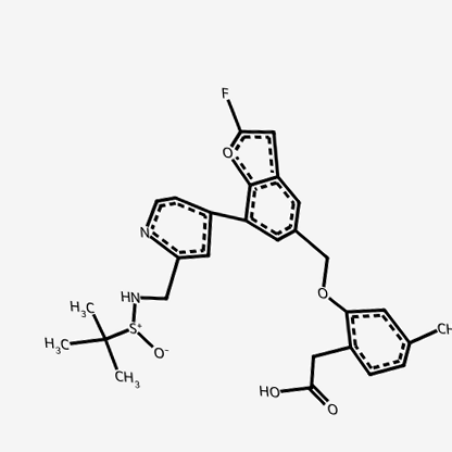 Cc1ccc(CC(=O)O)c(OCc2cc(-c3ccnc(CN[S+]([O-])C(C)(C)C)c3)c3oc(F)cc3c2)c1